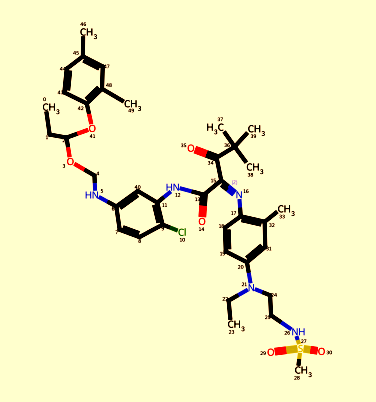 CCC(OCNc1ccc(Cl)c(NC(=O)/C(=N\c2ccc(N(CC)CCNS(C)(=O)=O)cc2C)C(=O)C(C)(C)C)c1)Oc1ccc(C)cc1C